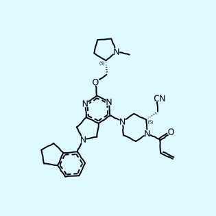 C=CC(=O)N1CCN(c2nc(OC[C@@H]3CCCN3C)nc3c2CN(c2cccc4c2CCC4)C3)C[C@@H]1CC#N